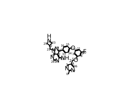 Cc1ncc(COc2cc(F)cc(Oc3ccc(-c4nn(CC5CNC5)c5ncnc(N)c45)cc3)c2)cn1